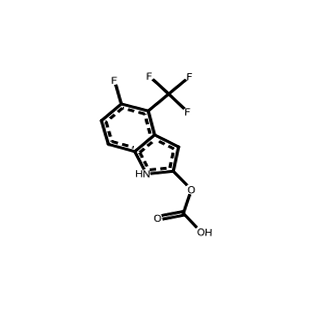 O=C(O)Oc1cc2c(C(F)(F)F)c(F)ccc2[nH]1